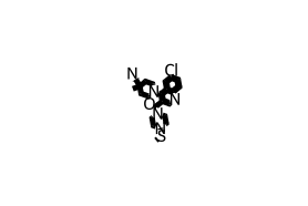 CSN1CCN(C(=O)c2cnc3ccc(Cl)cc3c2N2CCC(C)(C#N)CC2)CC1